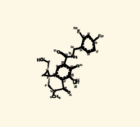 CN1C[C@@]2(C[C@@H]2CO)n2cc(C(=O)NCc3ccc(F)cc3F)c(=O)c(O)c2C1=O